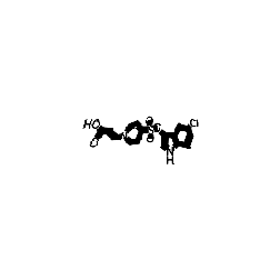 O=C(O)C=CN1CCC(S(=O)(=O)Oc2c[nH]c3ccc(Cl)cc23)CC1